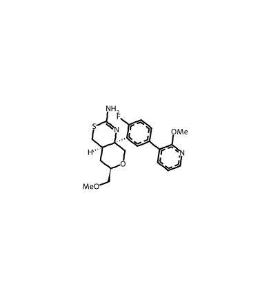 COC[C@H]1C[C@H]2CSC(N)=N[C@@]2(c2cc(-c3cccnc3OC)ccc2F)CO1